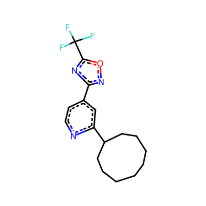 FC(F)(F)c1nc(-c2ccnc(C3CCCCCCCC3)c2)no1